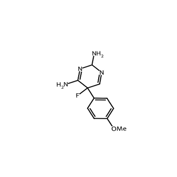 COc1ccc(C2(F)C=NC(N)N=C2N)cc1